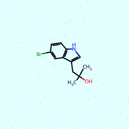 CC(C)(O)Cc1c[nH]c2ccc(Br)cc12